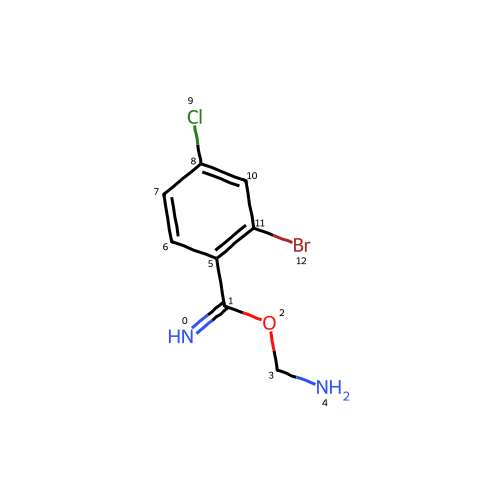 N=C(OCN)c1ccc(Cl)cc1Br